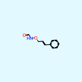 O=CNOCC=Cc1ccccc1